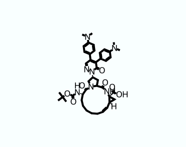 CN(C)c1ccc(-c2cnn([C@@H]3CC4C(=O)N[C@]5(C(=O)O)C[C@H]5/C=C\CCCCC[C@H](NC(=O)OC(C)(C)C)C(=O)N4C3)c(=O)c2-c2ccc(N(C)C)cc2)cc1